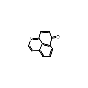 O=C1C=Cc2nccc3cccc1c23